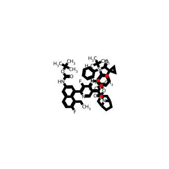 CCc1c(F)ccc2cc(NC(=O)OC(C)(C)C)cc(-c3ncc4c(N5CC6CCC(C5)N6C(=O)OC(C)(C)C)nc(OCC5(C(=O)[Si](c6ccccc6)(c6ccccc6)C(C)(C)C)CC5)nc4c3F)c12